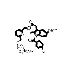 COc1ccc2c(c1)c(CC(=O)OCc1cccc(CO[N+](=O)[O-])n1)c(C)n2C(=O)c1ccc(Cl)cc1.O=[N+]([O-])O